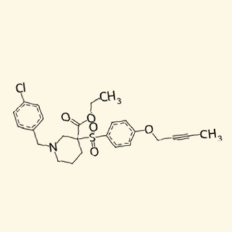 CC#CCOc1ccc(S(=O)(=O)C2(C(=O)OCC)CCCN(Cc3ccc(Cl)cc3)C2)cc1